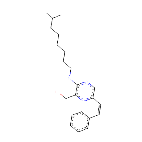 CC(C)CCCCCCNc1ncc(/C=C\c2ccccc2)nc1CO